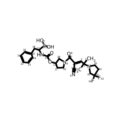 CC(C)(C=C(C#N)C(=O)N1CCC(OC(=O)NC(Cc2ccccc2)B(O)O)C1)N1CCC(F)(F)C1